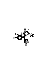 C[C@@H](Nc1cc(-c2cn[nH]c2)c2ccc(Cl)c(Cl)c2n1)C(=O)OC(C)(C)C